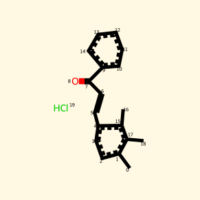 Cc1ccc(C=CC(=O)c2ccccc2)c(C)c1C.Cl